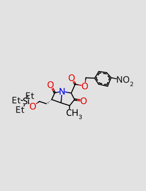 CC[Si](CC)(CC)OCC[C@@H]1C(=O)N2C(C(=O)OCc3ccc([N+](=O)[O-])cc3)C(=O)C(C)C12